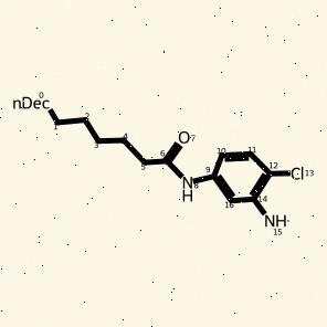 CCCCCCCCCCCCCCCC(=O)Nc1ccc(Cl)c([NH])c1